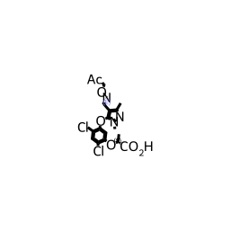 CC(=O)CO/N=C/c1c(C)nn(C)c1Oc1cc(O[C@@H](C)C(=O)O)c(Cl)cc1Cl